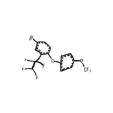 FC(F)C(F)(F)c1cc(Br)ccc1Oc1ccc(OC(F)(F)F)cc1